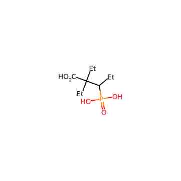 CCC(C(CC)(CC)C(=O)O)P(=O)(O)O